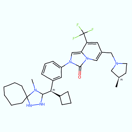 C[C@@H]1CCN(Cc2cc(C(F)(F)F)c3cn(-c4cccc([C@@H](C5CCC5)C5NNC6(CCCCCC6)N5C)c4)c(=O)n3c2)C1